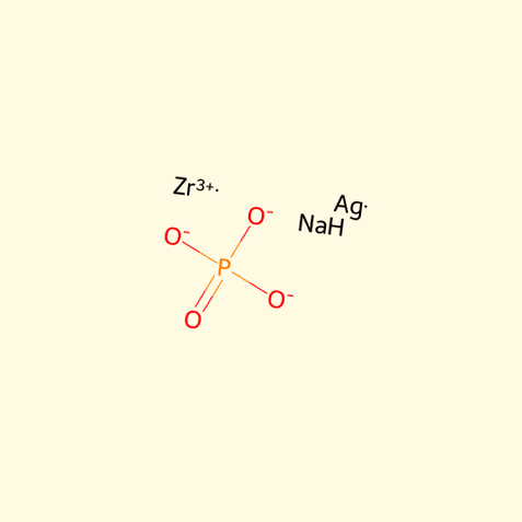 O=P([O-])([O-])[O-].[Ag].[NaH].[Zr+3]